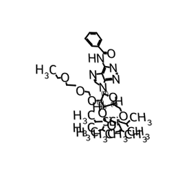 CCOCCOCO[C@@H]1[C@@H]2O[Si](C(C)C)(C(C)C)O[Si](C(C)C)(C(C)C)OC[C@H]2O[C@H]1n1cnc2c(NC(=O)c3ccccc3)ncnc21